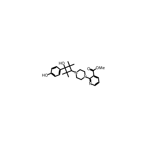 COC(=O)c1cccnc1N1CCN(C2C(C)(C)C(O)(c3ccc(O)cc3)C2(C)C)CC1